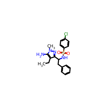 CCc1c(C(Cc2ccccc2)NS(=O)(=O)c2ccc(Cl)cc2)nn(C)c1N